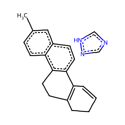 Cc1ccc2c3c(ccc2c1)C1=C(CCC=C1)CC3.c1nc[nH]n1